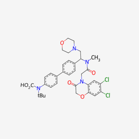 CN(C(=O)CN1C(=O)COc2cc(Cl)c(Cl)cc21)C(CN1CCOCC1)c1ccc(-c2ccc(N(C(=O)O)C(C)(C)C)cc2)cc1